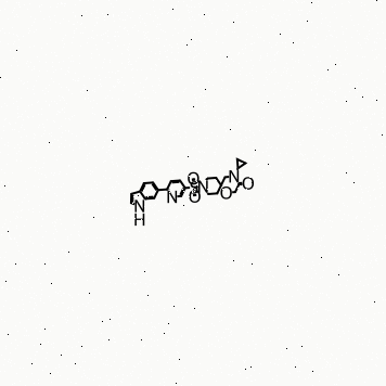 O=C1COC2(CCN(S(=O)(=O)c3ccc(-c4ccc5cc[nH]c5c4)nc3)CC2)CN1C1CC1